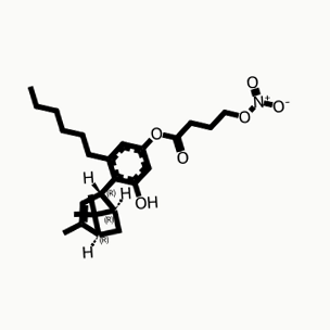 CCCCCCc1cc(OC(=O)CCCO[N+](=O)[O-])cc(O)c1[C@H]1C=C(C)[C@@H]2C[C@H]1C2(C)C